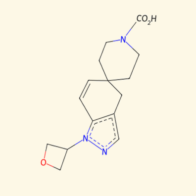 O=C(O)N1CCC2(C=Cc3c(cnn3C3COC3)C2)CC1